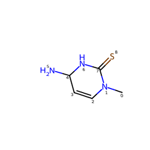 CN1C=CC(N)NC1=S